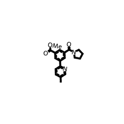 COC(=O)c1cc(C(=O)N2CCCC2)cc(-c2ccc(C)cn2)c1